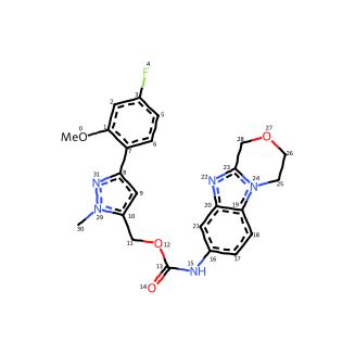 COc1cc(F)ccc1-c1cc(COC(=O)Nc2ccc3c(c2)nc2n3CCOC2)n(C)n1